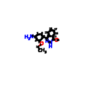 CCOc1cc(N)ccc1-c1n[nH]c(=O)c2ccccc12